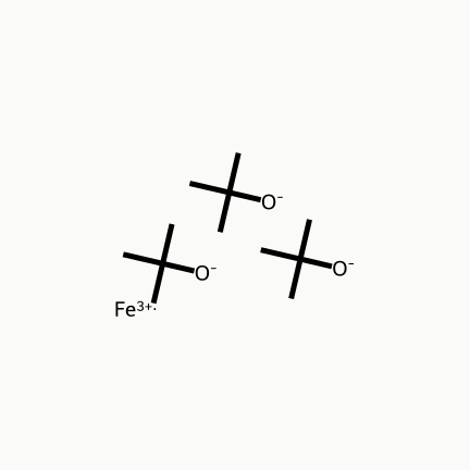 CC(C)(C)[O-].CC(C)(C)[O-].CC(C)(C)[O-].[Fe+3]